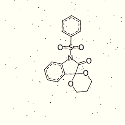 O=C1N(S(=O)(=O)c2ccccc2)c2ccccc2C12OCCCO2